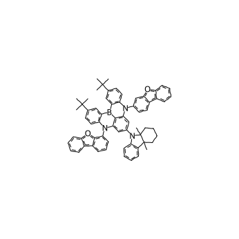 CC(C)(C)c1ccc2c(c1)B1c3cc(C(C)(C)C)ccc3N(c3cccc4c3oc3ccccc34)c3cc(N4c5ccccc5C5(C)CCCCC45C)cc(c31)N2c1ccc2c(c1)oc1ccccc12